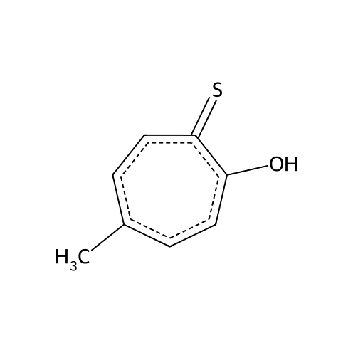 Cc1ccc(O)c(=S)cc1